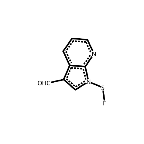 O=Cc1cn(SF)c2ncccc12